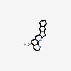 Cc1cc2cc3c(nc2c2ncccc12)Cc1cc2ccccc2cc1-3